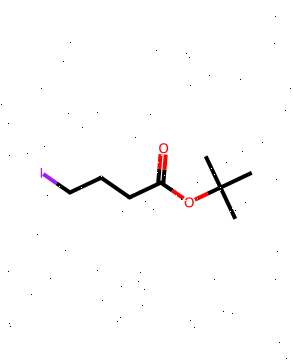 CC(C)(C)OC(=O)CCCI